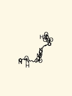 O=C(/C=C/c1cccnc1)NCCCCC1CCN(C(=O)c2ccc(N3CCN(CCCC#Cc4cccc5c4CN(C4CCC(=O)NC4=O)C5=O)CC3)nc2)CC1